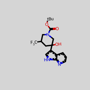 CC(C)(C)OC(=O)N1CC(C(F)(F)F)CC(O)(c2c[nH]c3ncccc23)C1